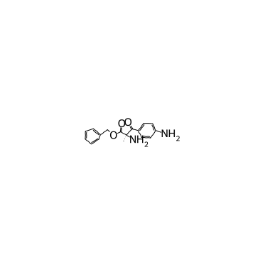 C[C@](N)(C(=O)OCc1ccccc1)C(=O)c1ccc(N)cc1